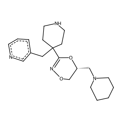 c1cncc(CC2(C3=NOC[C@@H](CN4CCCCC4)O3)CCNCC2)c1